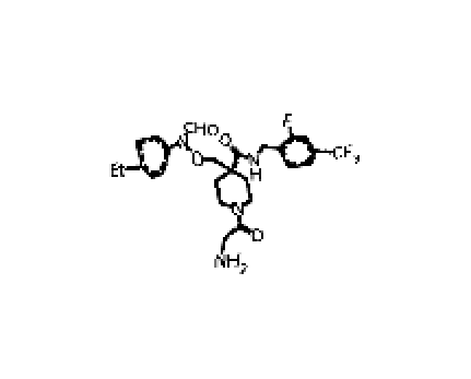 CCc1ccc(N(C=O)OCC2(C(=O)NCc3ccc(C(F)(F)F)cc3F)CCN(C(=O)CN)CC2)cc1